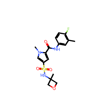 Cc1cc(NC(=O)c2cc(S(=O)(=O)NC3(C)COC3)cn2C)ccc1F